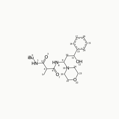 CCC(C)NC(=O)C(C)C(=O)NC(CC(O)c1ccccc1)N1CCOCC1